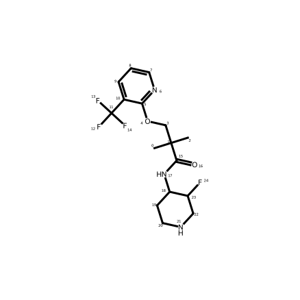 CC(C)(COc1ncccc1C(F)(F)F)C(=O)NC1CCNCC1F